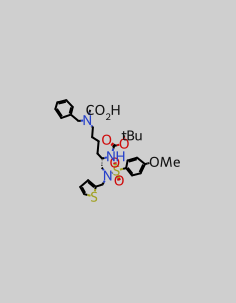 COc1ccc(S(=O)(=O)N(Cc2cccs2)C[C@H](CCCCN(Cc2ccccc2)C(=O)O)NC(=O)OC(C)(C)C)cc1